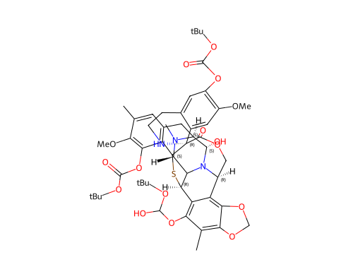 COc1cc2c(cc1OC(=O)OC(C)(C)C)CCN[C@]21CS[C@@H]2c3c(OC(O)OC(C)(C)C)c(C)c4c(c3[C@H](COC1=O)N1C2[C@@H]2c3c(cc(C)c(OC)c3OC(=O)OC(C)(C)C)C[C@@H]([C@@H]1O)N2C)OCO4